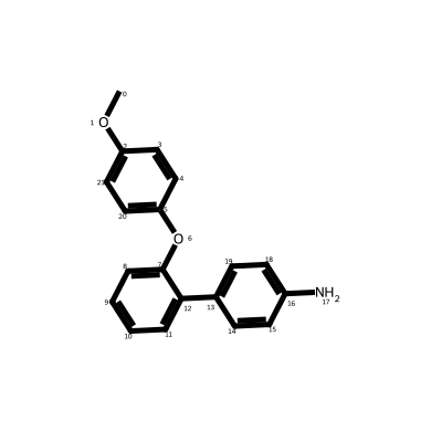 COc1ccc(Oc2ccccc2-c2ccc(N)cc2)cc1